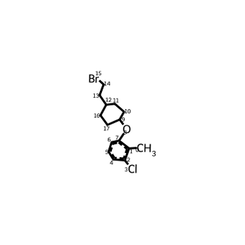 Cc1c(Cl)cccc1OC1CCC(CCBr)CC1